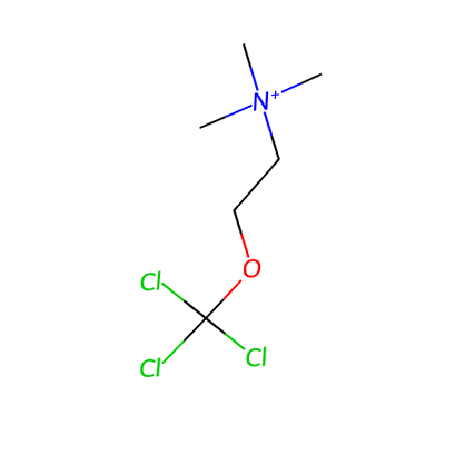 C[N+](C)(C)CCOC(Cl)(Cl)Cl